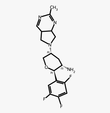 CC1=NC2CN([C@H]3CO[C@H](c4cc(F)c(F)cc4F)[C@@H](N)C3)CC2C=N1